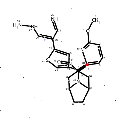 COc1cccc(C2(N=O)CC3CCC(C2)N3C(=O)c2csc(/C(C=N)=C/NN)c2)n1